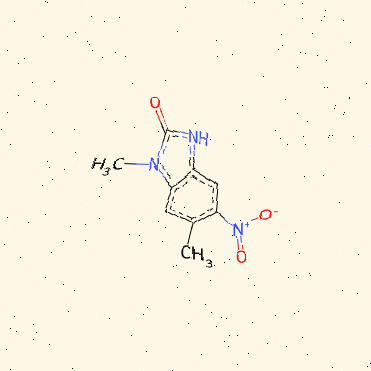 Cc1cc2c(cc1[N+](=O)[O-])[nH]c(=O)n2C